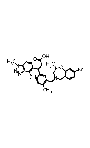 Cc1ccc(C(CC(=O)O)c2ccc3c(nnn3C)c2C)cc1CN1Cc2ccc(Br)cc2OC(C)C1